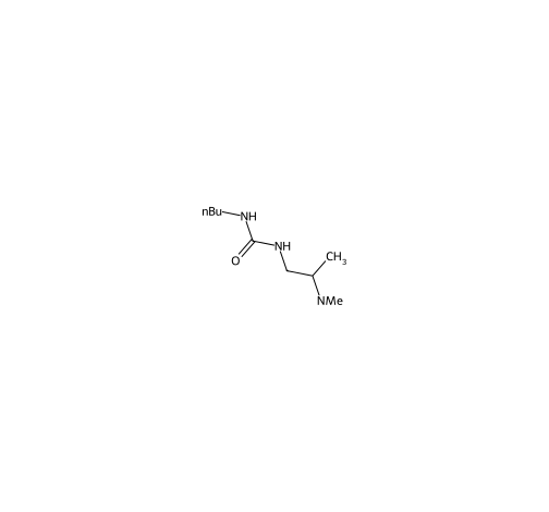 CCCCNC(=O)NCC(C)NC